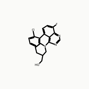 OCC1CCCN(c2ncnc3c(F)ccc(-c4ccccc4Cl)c23)C1